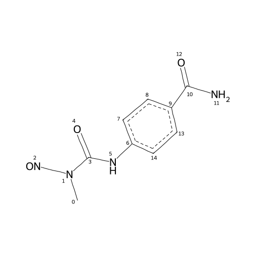 CN(N=O)C(=O)Nc1ccc(C(N)=O)cc1